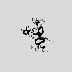 COc1cc(N(C)C(C)=O)ccc1-c1ccc2c(c1COc1cc(F)ccc1C)N(C)C(=O)C(C)(C)N2